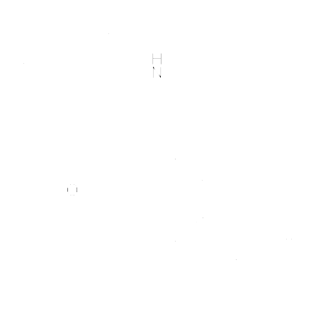 Cc1cccc2c3c(oc12)C1=C(CCC=C1)Nc1ccc2ccccc2c1-3